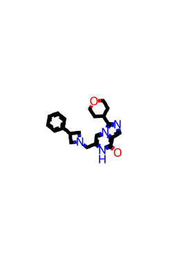 O=c1[nH]c(CN2CC(c3ccccc3)C2)cn2c(C3CCOCC3)ncc12